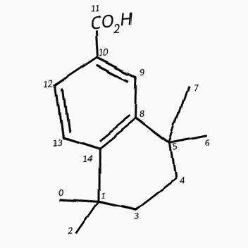 CC1(C)CCC(C)(C)c2cc(C(=O)O)ccc21